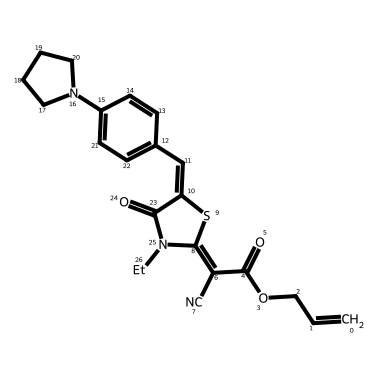 C=CCOC(=O)/C(C#N)=c1\sc(=Cc2ccc(N3CCCC3)cc2)c(=O)n1CC